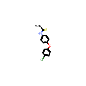 CNC(=S)Nc1ccc(Oc2ccc(Cl)cc2)cc1